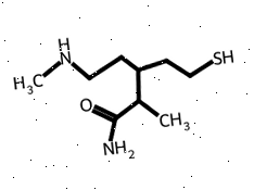 CNCCC(CCS)C(C)C(N)=O